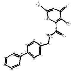 Cc1cc(=S)c(O)c(C(=O)NCc2ccc(-c3ccccc3)cc2)o1